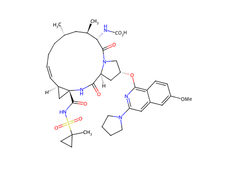 COc1ccc2c(O[C@@H]3C[C@H]4C(=O)N[C@]5(C(=O)NS(=O)(=O)C6(C)CC6)C[C@H]5C=CCC[C@H](C)C[C@@H](C)[C@H](NC(=O)O)C(=O)N4C3)nc(N3CCCC3)cc2c1